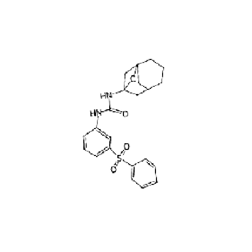 O=C(Nc1cccc(S(=O)(=O)c2ccccc2)c1)NC12CC3CCCC(C3)(C1)C2